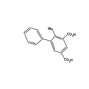 CC(C)(C)c1c(C(=O)O)cc(C(=O)O)cc1-c1ccccc1